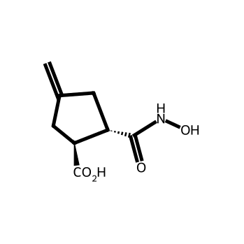 C=C1C[C@H](C(=O)O)[C@@H](C(=O)NO)C1